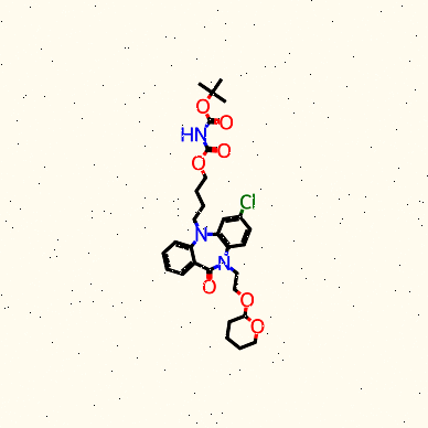 CC(C)(C)OC(=O)NC(=O)OCCCCN1c2ccccc2C(=O)N(CCOC2CCCCO2)c2ccc(Cl)cc21